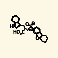 O=C(O)C(Cc1c[nH]c2ccccc12)[AsH]S(=O)(=O)c1ccc2c3c(oc2c1)CCCC3